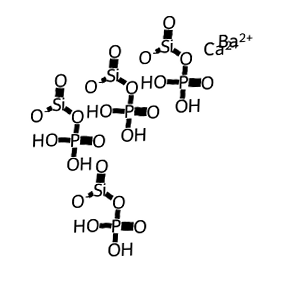 O=[Si]([O-])OP(=O)(O)O.O=[Si]([O-])OP(=O)(O)O.O=[Si]([O-])OP(=O)(O)O.O=[Si]([O-])OP(=O)(O)O.[Ba+2].[Ca+2]